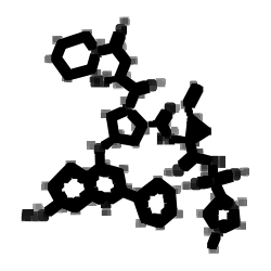 C=C[C@@H]1C[C@]1(NC(=O)[C@@H]1C[C@@H](Oc2cc(-c3ccccc3)nc3cc(OC)ccc23)CN1C(=O)[C@@H](CC(=O)N1CCCCC1)C(C)(C)C)C(=O)NS(=O)(=O)c1cn(C)cn1